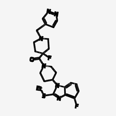 CCSc1nc2c(F)cccc2n1C1CCN(C(=O)C2(F)CCN(Cc3ccnnc3)CC2)CC1